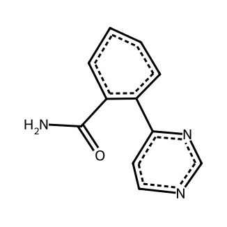 NC(=O)c1ccccc1-c1ccncn1